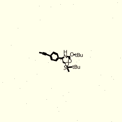 CC#Cc1ccc([C@H](CO[Si](C)(C)C(C)(C)C)NC(=O)OC(C)(C)C)cc1